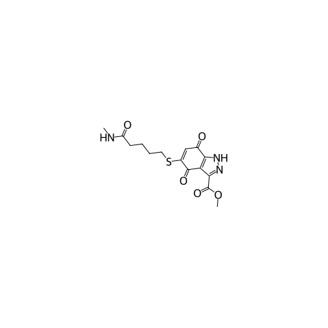 CNC(=O)CCCCSC1=CC(=O)c2[nH]nc(C(=O)OC)c2C1=O